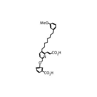 COc1cccc(CCCCCCCCc2ccc(COc3cccc(C(=O)O)c3)nc2C=CC(=O)O)c1